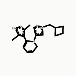 Cc1n[nH]c(C)c1C1=CC=CCN1c1cnn(CC2CCC2)c1